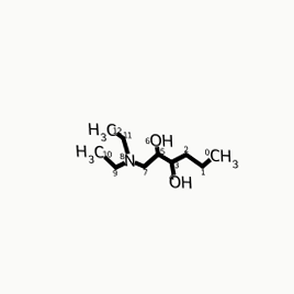 CCCC(O)C(O)CN(CC)CC